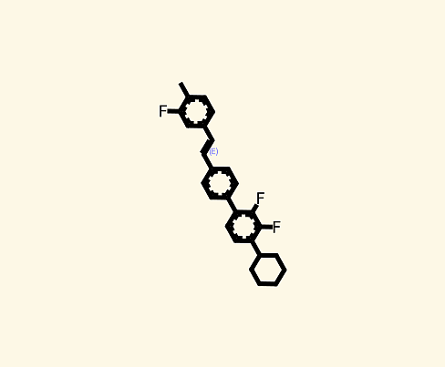 Cc1ccc(/C=C/c2ccc(-c3ccc(C4CCCCC4)c(F)c3F)cc2)cc1F